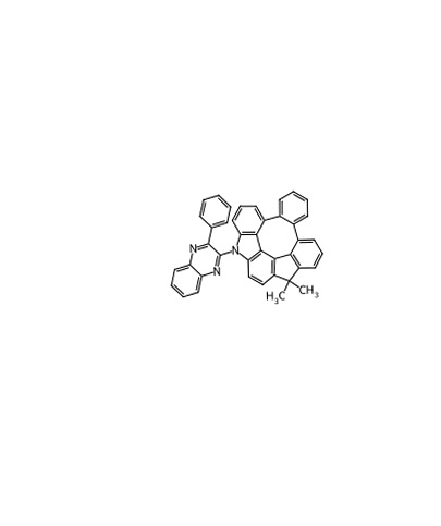 CC1(C)c2cccc3c4ccccc4c4cccc5c4c4c(c1ccc4n5-c1nc4ccccc4nc1-c1ccccc1)c23